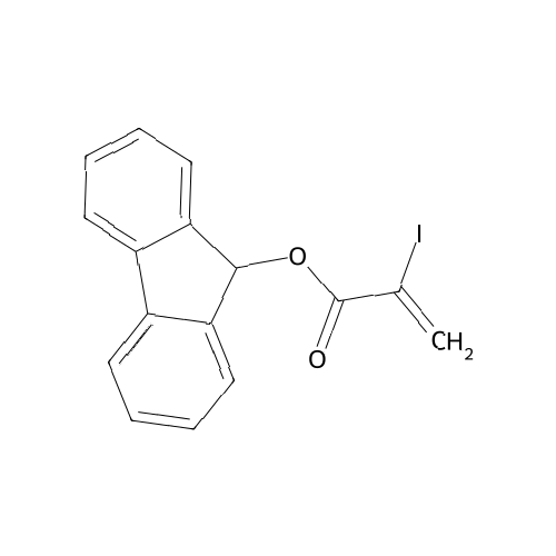 C=C(I)C(=O)OC1c2ccccc2-c2ccccc21